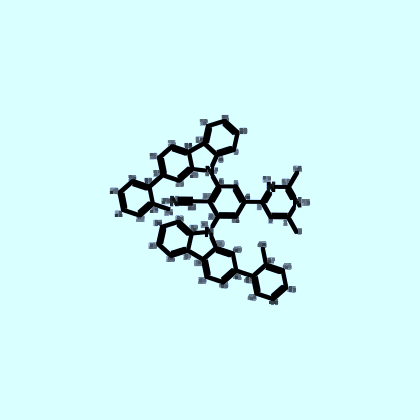 Cc1cc(-c2cc(-n3c4ccccc4c4ccc(-c5ccccc5C)cc43)c(C#N)c(-n3c4ccccc4c4ccc(-c5ccccc5C)cc43)c2)nc(C)n1